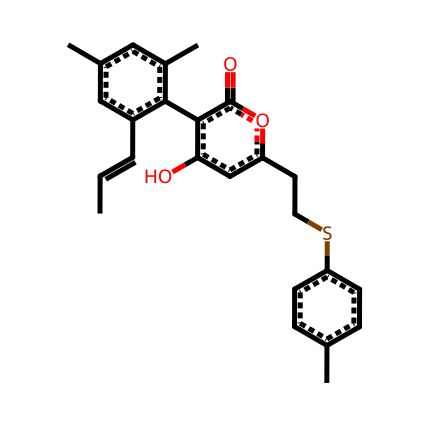 C/C=C/c1cc(C)cc(C)c1-c1c(O)cc(CCSc2ccc(C)cc2)oc1=O